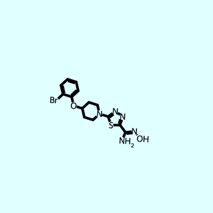 N/C(=N\O)c1nnc(N2CCC(Oc3ccccc3Br)CC2)s1